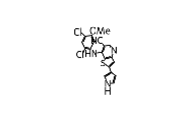 COc1cc(Nc2c(C#N)cnc3cc(-c4cc[nH]c4)sc23)c(Cl)cc1Cl